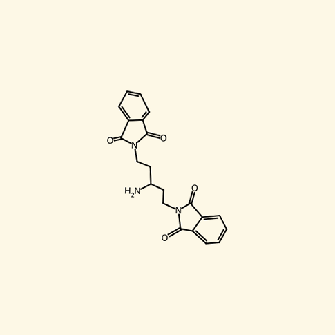 NC(CCN1C(=O)c2ccccc2C1=O)CCN1C(=O)c2ccccc2C1=O